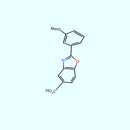 COc1cccc(-c2nc3cc(C(=O)O)ccc3o2)c1